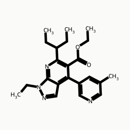 CCOC(=O)c1c(C(CC)CC)nc2c(cnn2CC)c1-c1cncc(C)c1